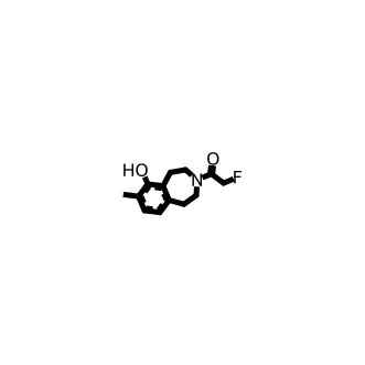 Cc1ccc2c(c1O)CCN(C(=O)CF)CC2